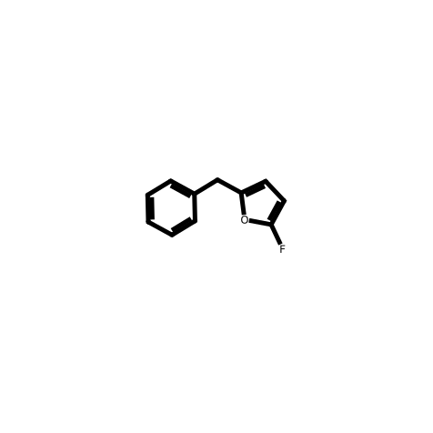 Fc1ccc(Cc2ccccc2)o1